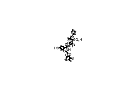 Cc1[nH]cc(OCC(=O)NC(C(=O)NC2C(=O)N3C(C(=O)O)=C(CSc4nncs4)CS[C@H]23)c2ccc(O)cc2)c(=O)c1Cl